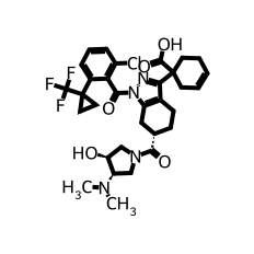 CN(C)[C@H]1CN(C(=O)[C@H]2CCc3c(C4(C(=O)O)CC=CCC4)nn(C(=O)c4c(Cl)cccc4C4(C(F)(F)F)CC4)c3C2)C[C@@H]1O